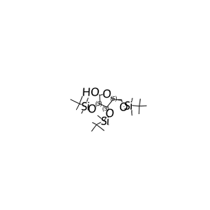 CC(C)(C)[Si](C)(C)OC[C@@H]1OC(O)[C@@H](O[Si](C)(C)C(C)(C)C)[C@H]1O[Si](C)(C)C(C)(C)C